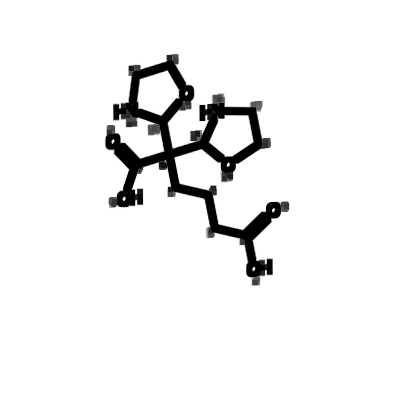 O=C(O)CCCC(C(=O)O)(C1NCCO1)C1NCCO1